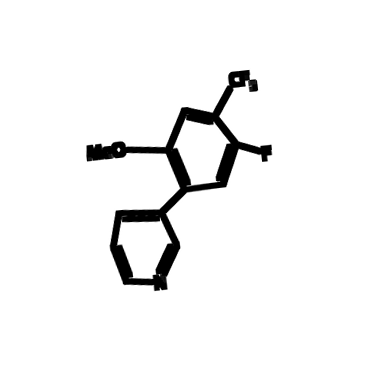 COc1cc(C(F)(F)F)c(F)cc1-c1cccnc1